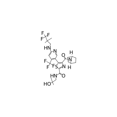 CC(C)(O)CNC(=O)c1nc(C(=O)N2[C@H]3CC[C@@H]2CC3)c(-c2cnc(NCC(C)(C)C(F)(F)F)cc2C(F)(F)F)s1